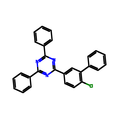 Clc1ccc(-c2nc(-c3ccccc3)nc(-c3ccccc3)n2)cc1-c1ccccc1